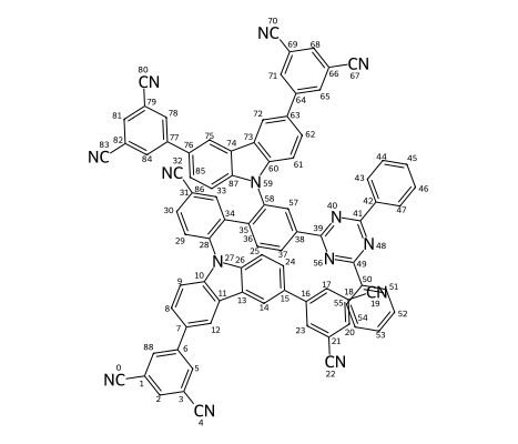 N#Cc1cc(C#N)cc(-c2ccc3c(c2)c2cc(-c4cc(C#N)cc(C#N)c4)ccc2n3-c2ccc(C#N)cc2-c2ccc(-c3nc(-c4ccccc4)nc(-c4ccccc4)n3)cc2-n2c3ccc(-c4cc(C#N)cc(C#N)c4)cc3c3cc(-c4cc(C#N)cc(C#N)c4)ccc32)c1